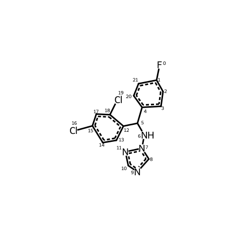 Fc1ccc(C(Nn2cncn2)c2ccc(Cl)cc2Cl)cc1